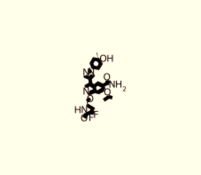 CC(C)Oc1cc2c(OC[C@@H]3CC(F)(F)C(=O)N3)ncc(-c3cnn([C@H]4CC[C@](C)(O)CC4)c3)c2cc1C(N)=O